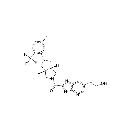 O=C(c1nc2ncc(CCO)cn2n1)N1C[C@@H]2CN(c3cc(F)ccc3C(F)(F)F)C[C@@H]2C1